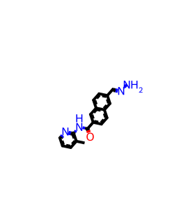 Cc1cccnc1NC(=O)c1ccc2cc(C=NN)ccc2c1